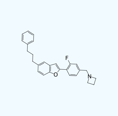 Fc1cc(CN2CCC2)ccc1-c1cc2cc(CCCc3ccccc3)ccc2o1